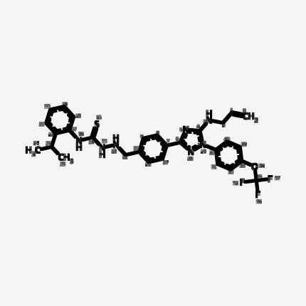 C=CCNc1nc(-c2ccc(CNNC(=S)Nc3ccccc3C(C)C)cc2)nn1-c1ccc(OC(F)(F)F)cc1